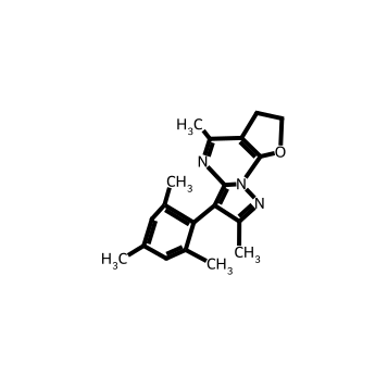 Cc1cc(C)c(-c2c(C)nn3c4c(c(C)nc23)CCO4)c(C)c1